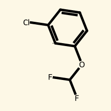 FC(F)Oc1[c]c(Cl)ccc1